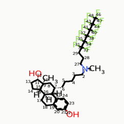 CN(CCCCC[C@H]1C[C@]2(C)[C@@H](O)CC[C@H]2[C@@H]2CCc3cc(O)ccc3[C@@H]12)CCCC(F)(F)C(F)(F)C(F)(F)C(F)(F)C(F)(F)C(F)(F)F